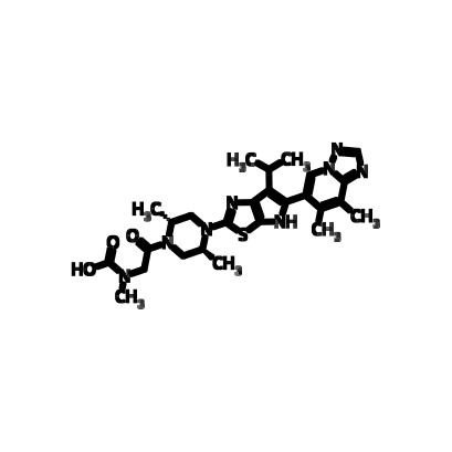 Cc1c(-c2[nH]c3sc(N4C[C@@H](C)N(C(=O)CN(C)C(=O)O)C[C@@H]4C)nc3c2C(C)C)cn2ncnc2c1C